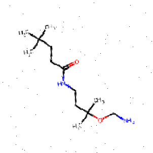 CC(C)(C)CCC(=O)NCCC(C)(C)OCN